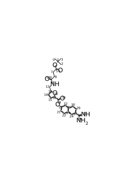 CC(C)(C)OC(=O)CCC(=O)NCc1ccc(C(=O)Oc2ccc3cc(C(=N)N)ccc3c2)o1